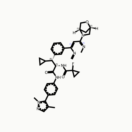 C=N/C(=C\C(=N/C)N1C[C@@H]2C[C@H]1CO2)c1cccc([C@@H](C2CC2)[C@H](NC(=O)C2(F)CC2)C(=O)Nc2ccc(-c3c(C)cnn3C)cc2)c1